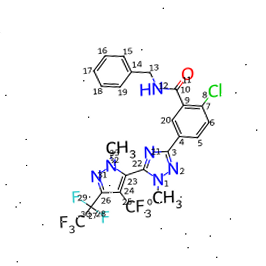 Cn1nc(-c2ccc(Cl)c(C(=O)NCc3ccccc3)c2)nc1-c1c(C(F)(F)F)c(C(F)(F)C(F)(F)F)nn1C